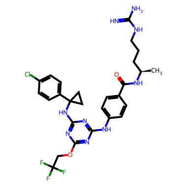 C[C@H](CCCNC(=N)N)NC(=O)c1ccc(Nc2nc(NC3(c4ccc(Cl)cc4)CC3)nc(OCC(F)(F)F)n2)cc1